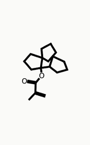 C=C(C)C(=O)OC1(C2CCCC2)CCCC12CCCC2